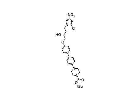 CC(C)(C)OC(=O)N1CCN(c2ccc(-c3ccc(OC[C@H](O)CCn4cc([N+](=O)[O-])nc4Cl)cc3)cc2)CC1